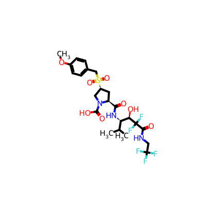 COc1ccc(CS(=O)(=O)[C@@H]2C[C@@H](C(=O)N[C@@H](C(C)C)[C@@H](O)C(F)(F)C(=O)NCC(F)(F)F)N(C(=O)O)C2)cc1